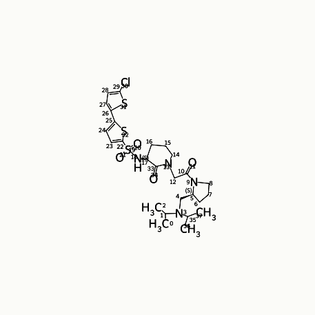 CC(C)N(C[C@@H]1CCCN1C(=O)CN1CCC[C@H](NS(=O)(=O)c2ccc(-c3ccc(Cl)s3)s2)C1=O)C(C)C